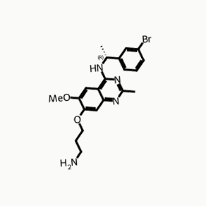 COc1cc2c(N[C@H](C)c3cccc(Br)c3)nc(C)nc2cc1OCCCN